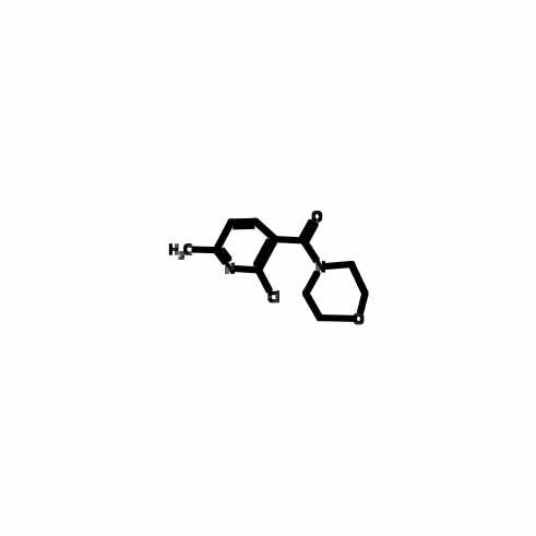 Cc1ccc(C(=O)N2CCOCC2)c(Cl)n1